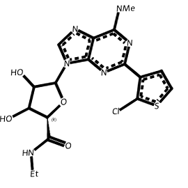 CCNC(=O)[C@@H]1OC(n2cnc3c(NC)nc(-c4ccsc4Cl)nc32)C(O)C1O